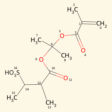 C=C(C)C(=O)OC(C)(C)OC(=O)C(C)C(C)S(=O)(=O)O